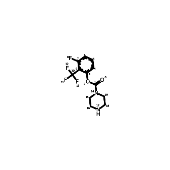 O=C(Oc1cccc(F)c1C(F)(F)F)N1CCNCC1